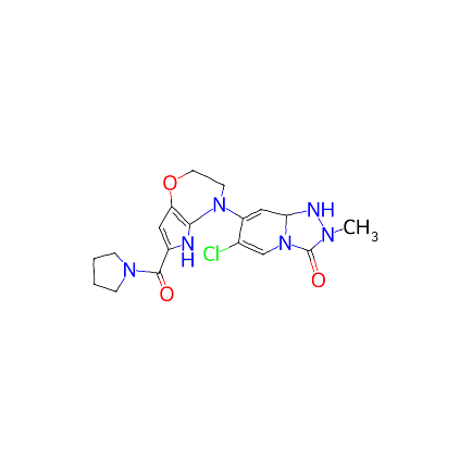 CN1NC2C=C(N3CCOc4cc(C(=O)N5CCCC5)[nH]c43)C(Cl)=CN2C1=O